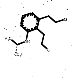 C[C@H](Nc1cccc(CCCl)c1CCCl)C(=O)O